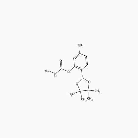 CC(C)(C)NC(=O)Oc1cc([N+](=O)[O-])ccc1B1OC(C)(C)C(C)(C)O1